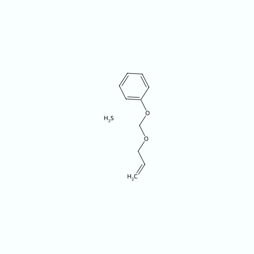 C=CCOCOc1ccccc1.S